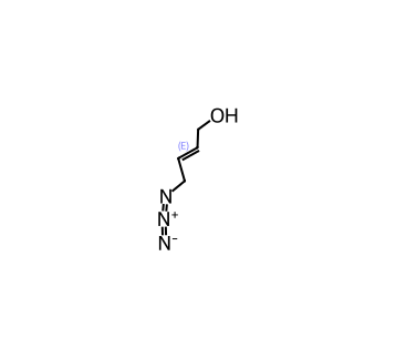 [N-]=[N+]=NC/C=C/CO